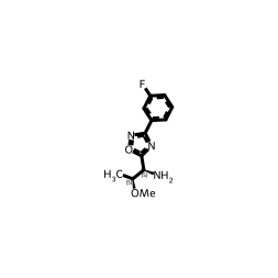 CO[C@@H](C)[C@H](N)c1nc(-c2cccc(F)c2)no1